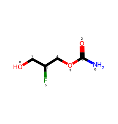 NC(=O)OCC(F)CO